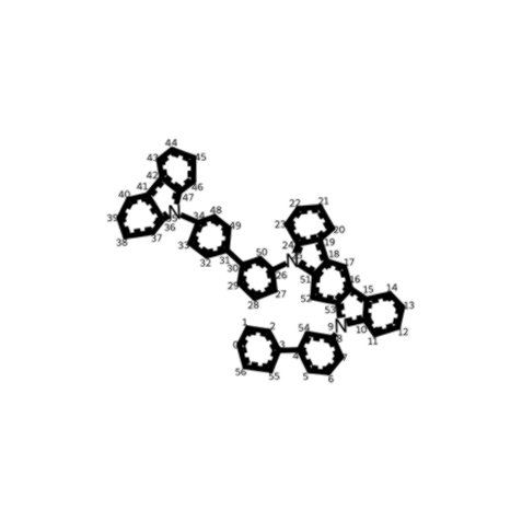 c1ccc(-c2cccc(-n3c4ccccc4c4cc5c6ccccc6n(-c6cccc(-c7ccc(-n8c9ccccc9c9ccccc98)cc7)c6)c5cc43)c2)cc1